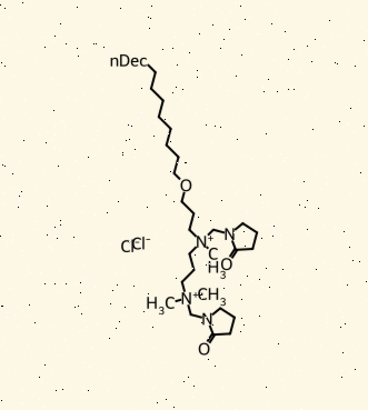 CCCCCCCCCCCCCCCCCCOCCC[N+](C)(CCC[N+](C)(C)CN1CCCC1=O)CN1CCCC1=O.[Cl-].[Cl-]